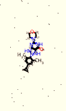 Cc1cc(C2CC2)cc(C)c1N1Nc2nc(N3CCOCC3)[nH]c(=O)c2N1